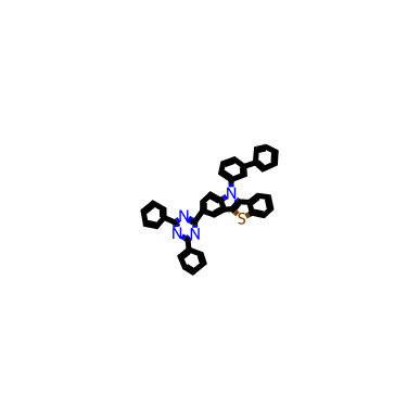 c1ccc(-c2cccc(-n3c4ccc(-c5nc(-c6ccccc6)nc(-c6ccccc6)n5)cc4c4sc5ccccc5c43)c2)cc1